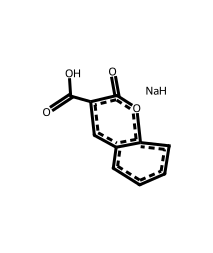 O=C(O)c1cc2ccccc2oc1=O.[NaH]